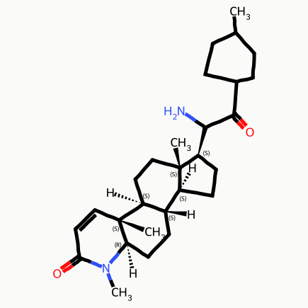 CC1CCC(C(=O)C(N)[C@H]2CC[C@H]3[C@@H]4CC[C@H]5N(C)C(=O)C=C[C@]5(C)[C@H]4CC[C@]23C)CC1